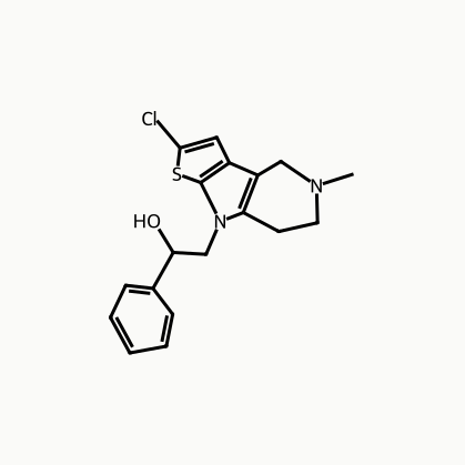 CN1CCc2c(c3cc(Cl)sc3n2CC(O)c2ccccc2)C1